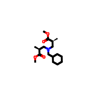 COC(=O)[C@H](C)CN(CC1CCCCC1)C[C@H](C)C(=O)OC